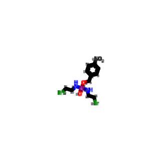 O=[N+]([O-])c1ccc(COP(=O)(NCCBr)NCCBr)cc1